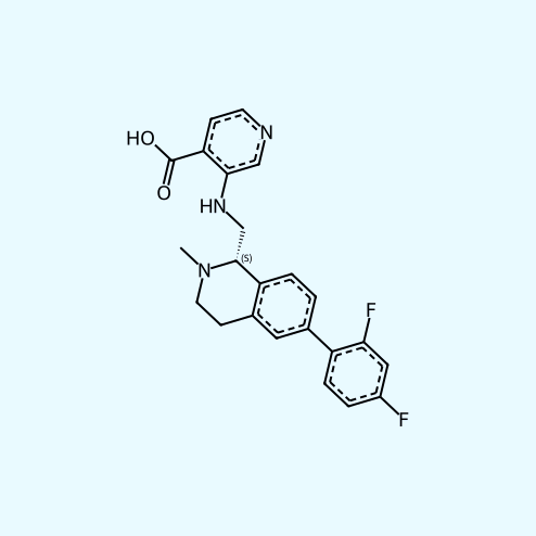 CN1CCc2cc(-c3ccc(F)cc3F)ccc2[C@H]1CNc1cnccc1C(=O)O